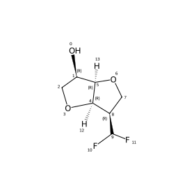 O[C@@H]1CO[C@H]2[C@@H]1OC[C@H]2C(F)F